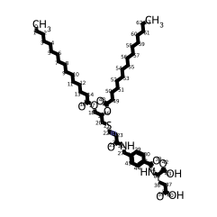 CCCCCCCCCCCCCCCC(=O)OCC(CS/C=C/C(=O)NCc1ccc(C(=O)N[C@@H](CCC(=O)O)C(=O)O)cc1)OC(=O)CCCCCCCCCCCCCCC